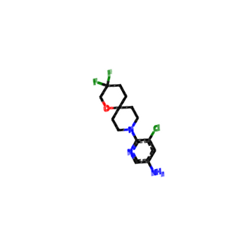 Nc1cnc(N2CCC3(CC2)CCC(F)(F)CO3)c(Cl)c1